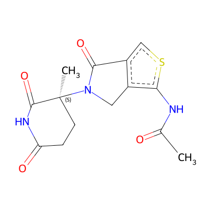 CC(=O)Nc1scc2c1CN([C@@]1(C)CCC(=O)NC1=O)C2=O